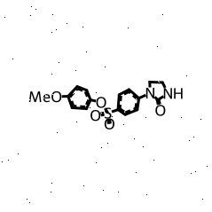 COc1ccc(OS(=O)(=O)c2ccc(N3CCNC3=O)cc2)cc1